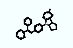 Cc1ccc2c(c1)C1CCCC1N2c1ccc(C=C(c2ccccc2)c2ccccc2)cc1